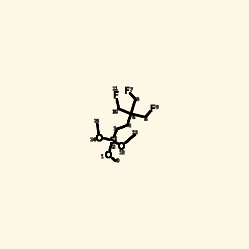 CO[Si](CCC(CF)(CF)CF)(OC)OC